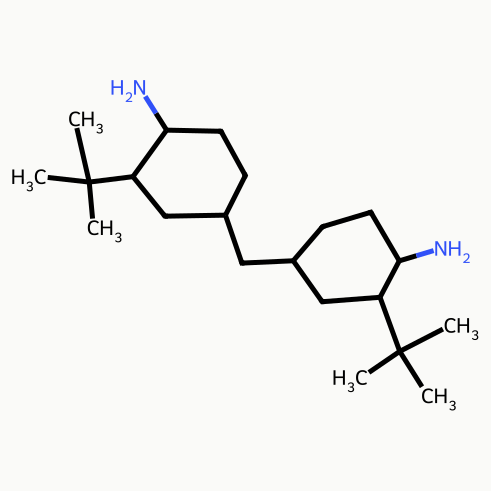 CC(C)(C)C1CC(CC2CCC(N)C(C(C)(C)C)C2)CCC1N